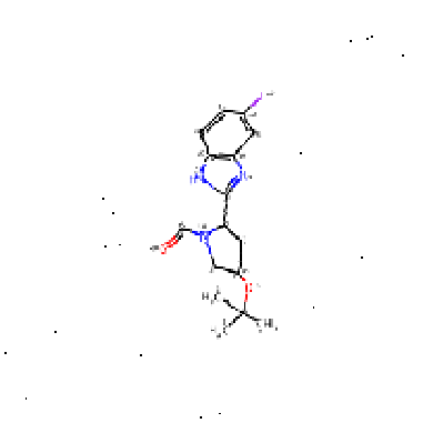 CC(C)(C)O[C@@H]1CC(c2nc3cc(I)ccc3[nH]2)N(C=O)C1